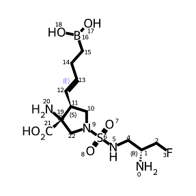 N[C@@H](CF)CNS(=O)(=O)N1C[C@H](/C=C/CCB(O)O)[C@](N)(C(=O)O)C1